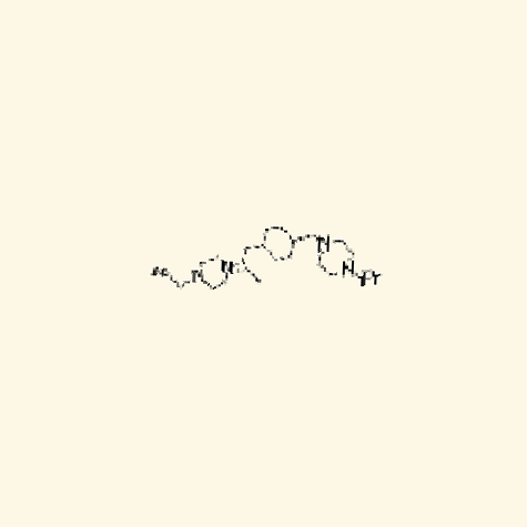 C#CCN1CCN([C@H](C)CC2CCC(CN3CCN(C(C)C)CC3)CC2)CC1